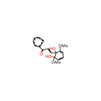 COC1=CC=CC(O)(OC)C1(O)C=CC(=O)c1ccccc1